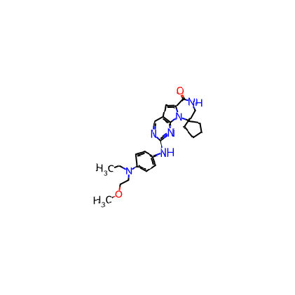 CCN(CCOC)c1ccc(Nc2ncc3cc4n(c3n2)C2(CCCC2)CNC4=O)cc1